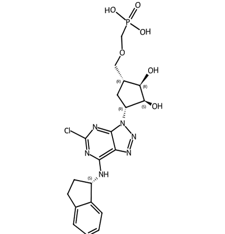 O=P(O)(O)COC[C@H]1C[C@@H](n2nnc3c(N[C@H]4CCc5ccccc54)nc(Cl)nc32)[C@H](O)[C@@H]1O